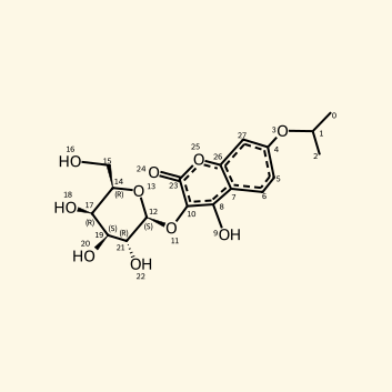 CC(C)Oc1ccc2c(O)c(O[C@@H]3O[C@H](CO)[C@H](O)[C@H](O)[C@H]3O)c(=O)oc2c1